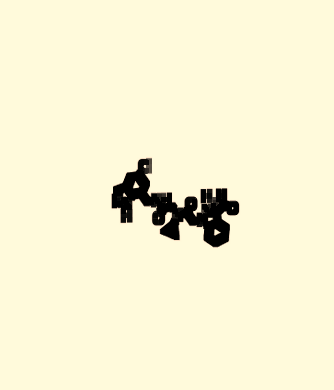 NC(=O)c1nn(CC(=O)N(CC(=O)NCc2cc(Cl)cc3cn[nH]c23)C2CC2)c2ccccc12